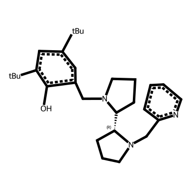 CC(C)(C)c1cc(CN2CCCC2[C@H]2CCCN2Cc2ccccn2)c(O)c(C(C)(C)C)c1